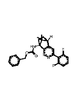 CC1(C)[C@@H]2CC[C@@]1(NC(=O)OCc1ccccc1)c1nnc(-c3c(F)cccc3F)cc12